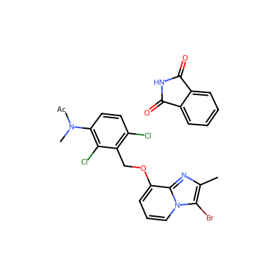 CC(=O)N(C)c1ccc(Cl)c(COc2cccn3c(Br)c(C)nc23)c1Cl.O=C1NC(=O)c2ccccc21